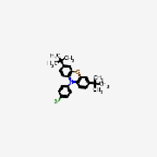 CC(C)(C)c1ccc2c(c1)Sc1cc(C(C)(C)C)ccc1N2c1ccc(Br)cc1